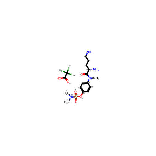 CN(C(=O)[C@@H](N)CCCN)c1ccc(OS(=O)(=O)N(C)C)cc1.O=C(O)C(F)(F)F